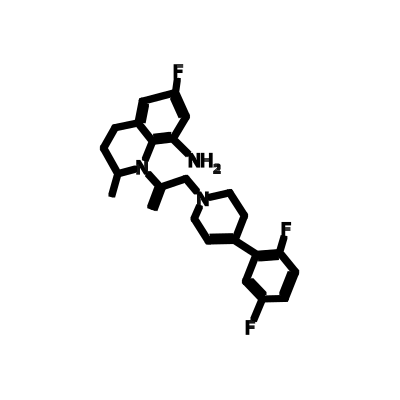 C=C(CN1CC=C(c2cc(F)ccc2F)CC1)N1c2c(N)cc(F)cc2CCC1C